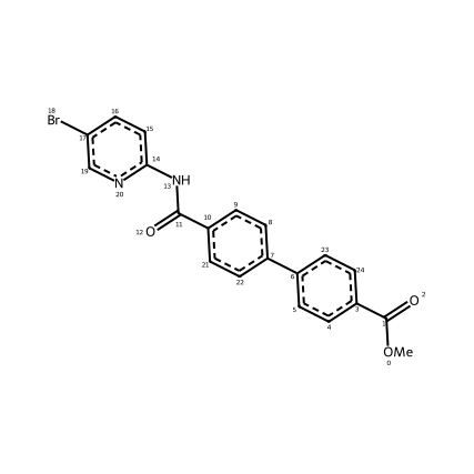 COC(=O)c1ccc(-c2ccc(C(=O)Nc3ccc(Br)cn3)cc2)cc1